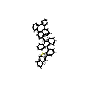 c1ccc2c(c1)-c1ccccc1-c1ccc(-c3c4ccccc4c(-c4cccc5c4sc4cc6ccccc6cc45)c4ccccc34)c3cccc-2c13